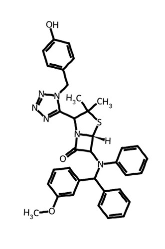 COc1cccc(C(c2ccccc2)N(c2ccccc2)C2C(=O)N3C(c4nnnn4Cc4ccc(O)cc4)C(C)(C)S[C@H]23)c1